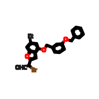 CCc1cc(OCc2cccc(OCc3ccccc3)c2)c2cc(C(Br)C=O)oc2c1